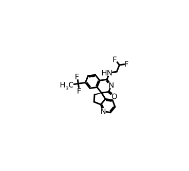 CC(F)(F)c1ccc2c(c1)[C@]1(CCc3ncccc31)C(=O)N=C2NCC(F)F